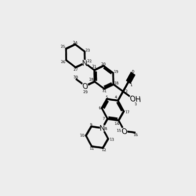 C#CC(O)(c1ccc(N2CCCCC2)c(OC)c1)c1ccc(N2CCCCC2)c(OC)c1